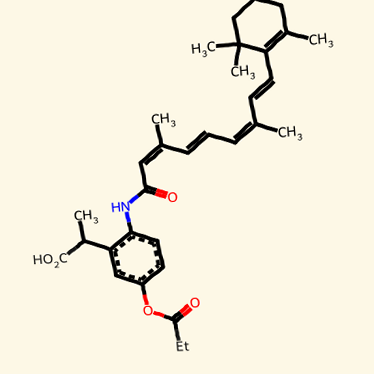 CCC(=O)Oc1ccc(NC(=O)C=C(C)C=CC=C(C)C=CC2=C(C)CCCC2(C)C)c(C(C)C(=O)O)c1